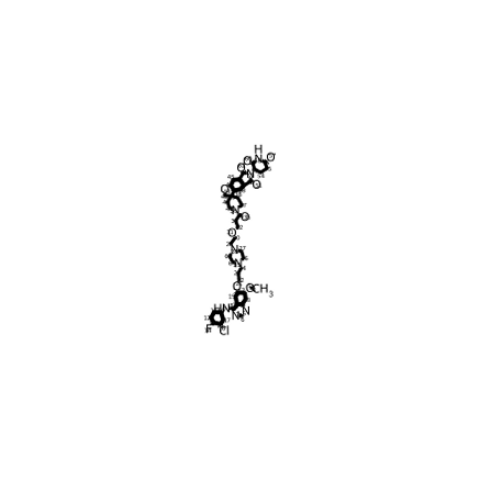 COc1cc2ncnc(Nc3ccc(F)c(Cl)c3)c2cc1OCCCN1CCN(CCOCCC(=O)N2CCC3(CC2)COc2cc4c(cc23)C(=O)N(C2CCC(=O)NC2=O)C4=O)CC1